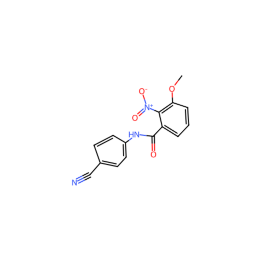 COc1cccc(C(=O)Nc2ccc(C#N)cc2)c1[N+](=O)[O-]